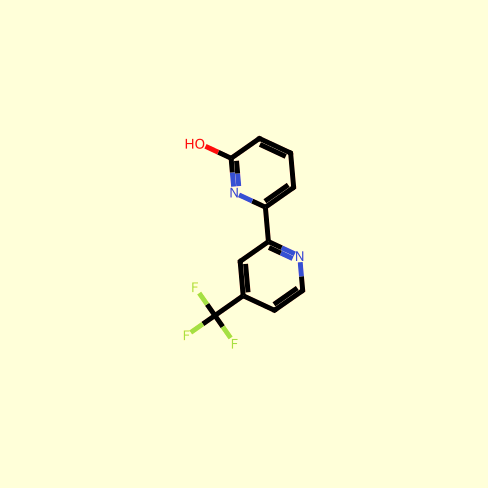 Oc1cccc(-c2cc(C(F)(F)F)ccn2)n1